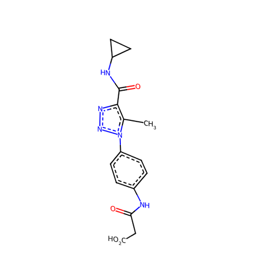 Cc1c(C(=O)NC2CC2)nnn1-c1ccc(NC(=O)CC(=O)O)cc1